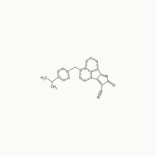 CC(C)c1ccc(Cc2ccc3c4c(cccc24)C2=NC(=O)C(C#N)=C23)cc1